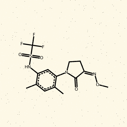 CON=C1CCN(c2cc(NS(=O)(=O)C(F)(F)F)c(C)cc2C)C1=O